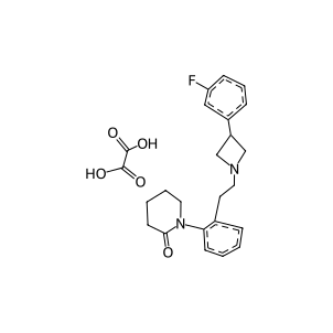 O=C(O)C(=O)O.O=C1CCCCN1c1ccccc1CCN1CC(c2cccc(F)c2)C1